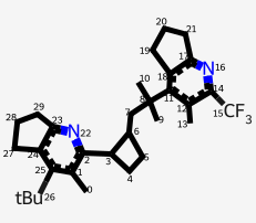 Cc1c(C2CCC2CC(C)(C)c2c(C)c(C(F)(F)F)nc3c2CCC3)nc2c(c1C(C)(C)C)CCC2